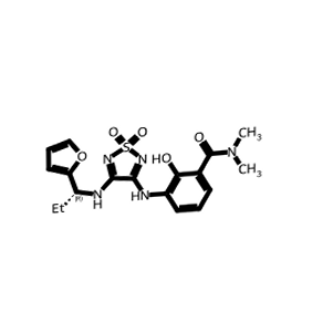 CC[C@@H](NC1=NS(=O)(=O)N=C1Nc1cccc(C(=O)N(C)C)c1O)c1ccco1